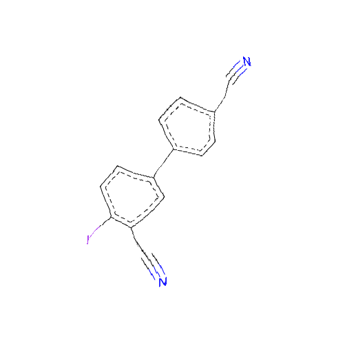 N#Cc1ccc(-c2ccc(I)c(C#N)c2)cc1